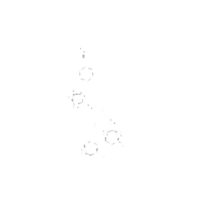 CN(c1nc(-c2ccncc2F)cc(=O)n1C)[C@H]1[C@@H]2CN(c3nnnn3Cc3ccc(C#N)cc3)C[C@@H]21